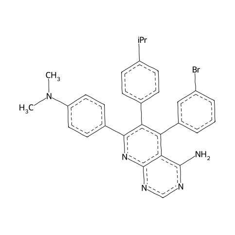 CC(C)c1ccc(-c2c(-c3ccc(N(C)C)cc3)nc3ncnc(N)c3c2-c2cccc(Br)c2)cc1